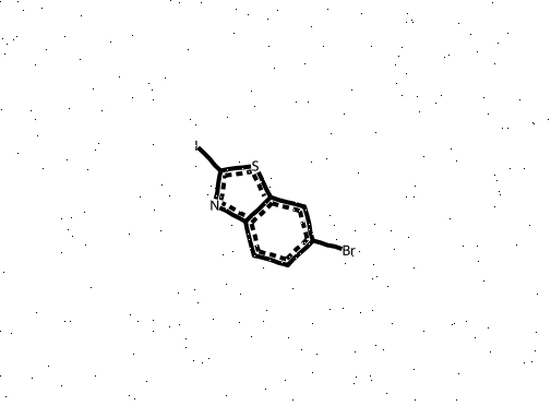 Brc1ccc2nc(I)sc2c1